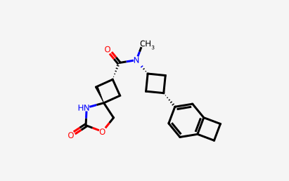 CN(C(=O)[C@H]1C[C@]2(COC(=O)N2)C1)[C@H]1C[C@@H](c2ccc3c(c2)CC3)C1